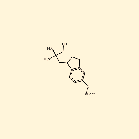 CCCCCCCOc1ccc2c(c1)CC[C@@H]2C[C@](C)(N)CO